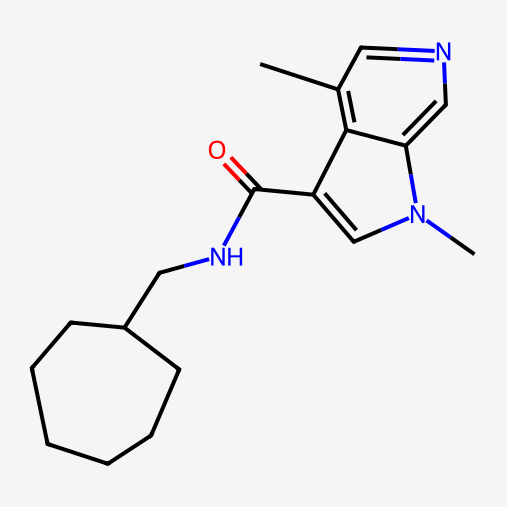 Cc1cncc2c1c(C(=O)NCC1CCCCCC1)cn2C